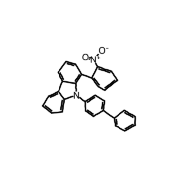 O=[N+]([O-])c1ccccc1-c1cccc2c3ccccc3n(-c3ccc(-c4ccccc4)cc3)c12